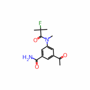 CC(=O)c1cc(C(N)=O)cc(N(C)C(=O)C(C)(C)F)c1